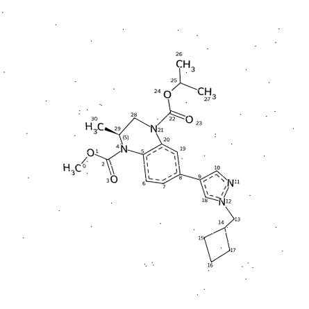 COC(=O)N1c2ccc(-c3cnn(CC4CCC4)c3)cc2N(C(=O)OC(C)C)C[C@@H]1C